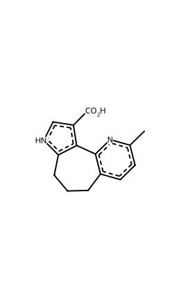 Cc1ccc2c(n1)-c1c(C(=O)O)c[nH]c1CCC2